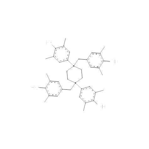 Cc1cc(CC2(c3cc(C)c(O)c(C)c3)CCC(Cc3cc(C)c(O)c(C)c3)(c3cc(C)c(O)c(C)c3)CC2)cc(C)c1O